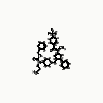 CCCN(C(=O)OCc1ccccc1)C1CCN(CC2CC(N(C)C(=O)c3ccc(C(F)(F)F)cc3)CC2c2ccccc2)CC1